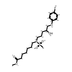 COC(=O)CCCCCCN(CCCC(O)COc1ccc(F)cc1)S(C)(=O)=O